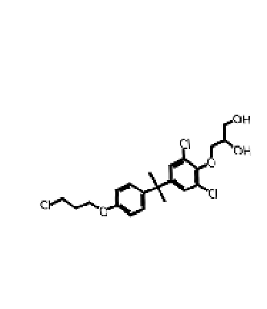 CC(C)(c1ccc(OCCCCl)cc1)c1cc(Cl)c(OCC(O)CO)c(Cl)c1